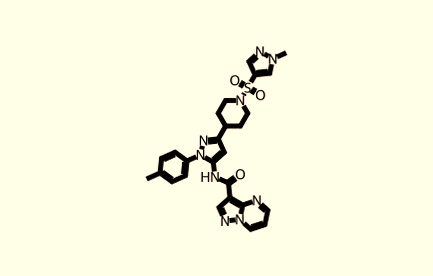 Cc1ccc(-n2nc(C3CCN(S(=O)(=O)c4cnn(C)c4)CC3)cc2NC(=O)c2cnn3cccnc23)cc1